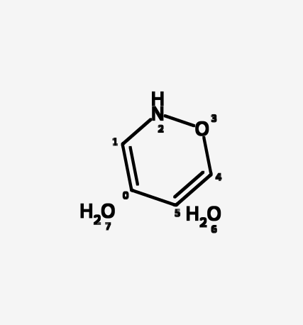 C1=CNOC=C1.O.O